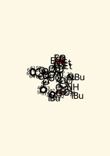 CCC(=O)O[C@H](CC)CC(=O)NC1[C@H](OCC2OC(O[Si](C)(C)C(C)(C)C)C(NC(=O)C[C@H](C)CC)[C@@H](OC(=O)C[C@H](C)CC)[C@H]2OCc2ccccc2)OC(COCc2ccccc2)[C@@H](OP2(=O)OCc3ccccc3CO2)[C@@H]1OC(=O)C[C@@H](CC)OC(=O)CC